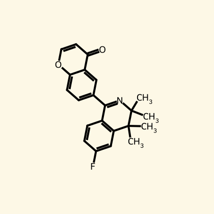 CC1(C)N=C(c2ccc3occc(=O)c3c2)c2ccc(F)cc2C1(C)C